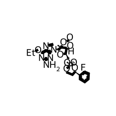 CCOc1nc(N)nc2c1ncn2[C@@H]1O[C@H](CO[P@]2(=O)OCC[C@H](c3ccccc3F)O2)[C@H]2OC(=O)O[C@]21C